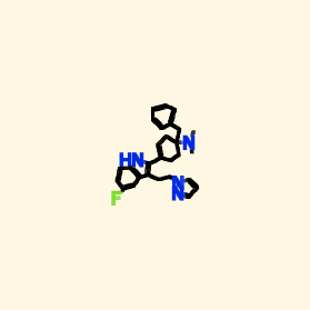 CN(C)C1(Cc2ccccc2)CC=C(c2[nH]c3ccc(F)cc3c2CCn2cccn2)CC1